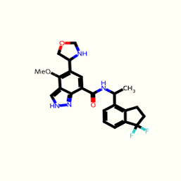 COc1c(C2COCN2)cc(C(=O)NC(C)c2cccc3c2CCC3(F)F)c2n[nH]cc12